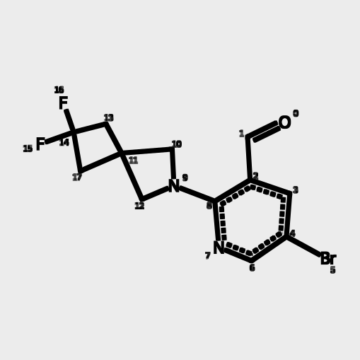 O=Cc1cc(Br)cnc1N1CC2(C1)CC(F)(F)C2